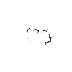 C=C(C)C(=O)OCC(=O)OC(C)(C)C(=O)OCC(F)(F)CC(F)(F)C(F)F